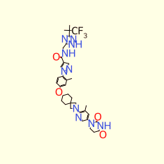 Cc1cc(OC2CCC3(CC2)CN(c2ncc(N4CCC(=O)NC4=O)cc2C)C3)ccc1-n1cc(C(=O)NCc2nc(C(C)(C)C(F)(F)F)n[nH]2)cn1